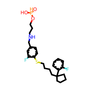 O=[PH](O)OCCCNCc1ccc(SCCCCC2(c3ccccc3F)CCCC2)c(F)c1